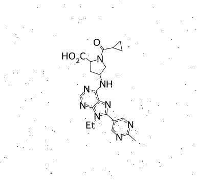 CCn1c(-c2cnc(C)nc2)nc2c(NC3CC(C(=O)O)N(C(=O)C4CC4)C3)ncnc21